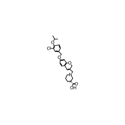 CC(C)Oc1ccc(COc2ccc3c(c2)OCC(CN2CCC[C@@H](C(=O)O)C2)=C3)cc1Cl